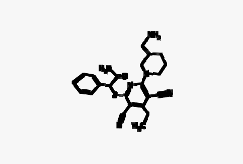 CCc1c(C#N)c(SC(C(N)=O)c2ccccc2)nc(N2CCCC(CN)C2)c1C#N